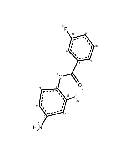 Nc1ccc(OC(=O)c2cccc(F)c2)c(Cl)c1